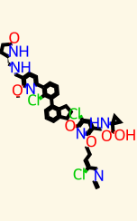 C=C/N=C\C(Cl)=C/CCOc1nc(O[C@H]2CCc3c(-c4cccc(-c5ccc(CNC[C@@H]6CCC(=O)N6)c(OC)n5)c4Cl)cccc32)c(Cl)cc1CNC1(C(=O)O)CC1